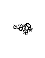 COc1nc(C2=NOCC(c3nn(C)c4ccccc34)N2)ccc1-n1cnc(C)c1